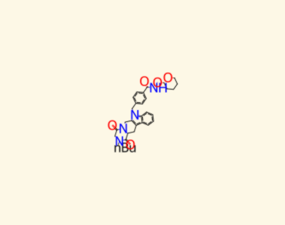 CCCCN1CC(=O)N2Cc3c(c4ccccc4n3Cc3ccc(C(=O)NOC4CCCCO4)cc3)CC2C1=O